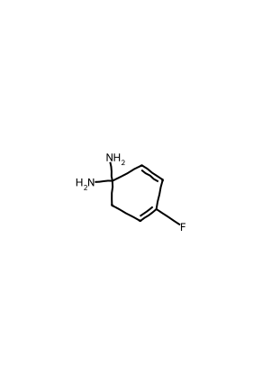 NC1(N)C=CC(F)=CC1